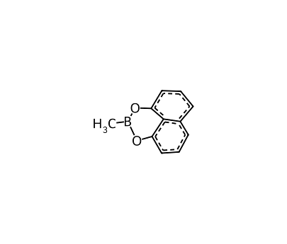 CB1Oc2cccc3cccc(c23)O1